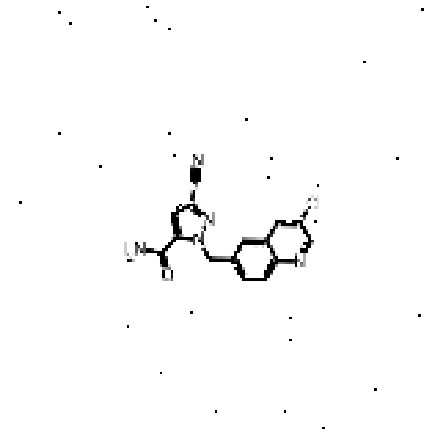 N#Cc1cc(C(N)=O)n(Cc2ccc3ncc(Cl)cc3c2)n1